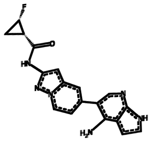 Nc1c(-c2ccn3nc(NC(=O)[C@@H]4C[C@@H]4F)cc3c2)cnc2[nH]ccc12